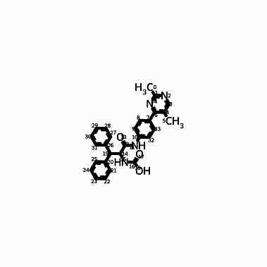 Cc1ncc(C)c(-c2ccc(NC(=O)C(NC(=O)O)C(c3ccccc3)c3ccccc3)cc2)n1